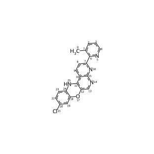 Cc1cccnc1-c1ccc2c3c(cnc2n1)Oc1cc(Cl)ccc1N3